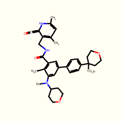 CCN(c1cc(-c2ccc(C3(C(=O)O)CCOCC3)cc2)cc(C(=O)NCC2=C(C)C=C(C)NC2=C=O)c1C)C1CCOCC1